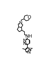 Cc1cnn(C)c1-c1ccc(NCCC2CCC3CN(CC4CCOCC4)CC23)nn1